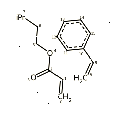 C=CC(=O)OCCC(C)C.C=Cc1ccccc1